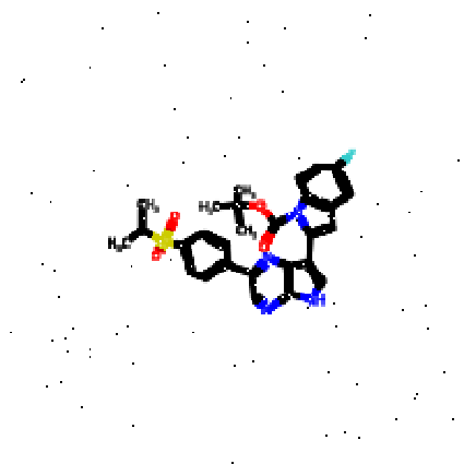 CC(C)S(=O)(=O)c1ccc(-c2cnc3[nH]cc(-c4cc5cc(F)ccc5n4C(=O)OC(C)(C)C)c3n2)cc1